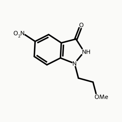 COCCn1[nH]c(=O)c2cc([N+](=O)[O-])ccc21